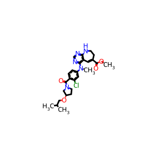 COC(=O)C1=Cc2c(ncnc2N(C)c2ccc(C(=O)N3CC[C@@H](OCC(C)C)C3)c(Cl)c2)NCC1